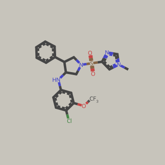 Cn1cnc(S(=O)(=O)N2CC(Nc3ccc(Cl)c(OC(F)(F)F)c3)C(c3ccccc3)C2)c1